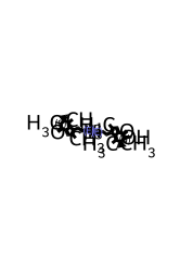 CC1=C(CC/C=N/N=C/CCC2=C(C)C=C3C(=O)[C@@](C)(O)C4(CC4)C(C)=C32)C2=C(C)C3(CC3)[C@H](C)C(=O)C2=C1